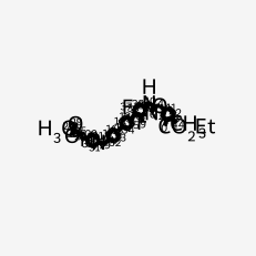 CCOC(=O)c1cc(Oc2nc3c(F)c(-c4ccc(-c5ccc(CN6CCN(CCS(C)(=O)=O)CC6)cc5)cc4)c(F)cc3[nH]2)ccc1C